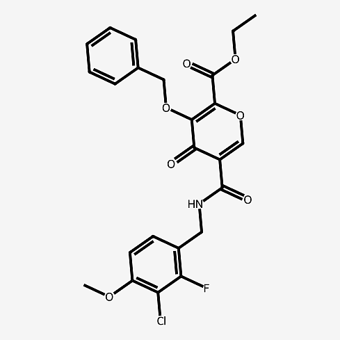 CCOC(=O)c1occ(C(=O)NCc2ccc(OC)c(Cl)c2F)c(=O)c1OCc1ccccc1